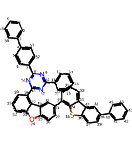 c1ccc(-c2ccc(-c3nc(-c4ccccc4)nc(-c4cccc5oc6ccc(-c7cccc8c7sc7ccc(-c9ccccc9)cc78)cc6c45)n3)cc2)cc1